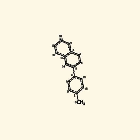 Cc1ccc(-c2ccc3cnccc3c2)cc1